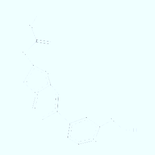 CCNC(=O)Nc1cn2ccc(-c3ccnc(NC(=O)O)c3)cc2n1